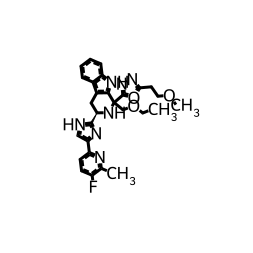 CCOCC1(c2nnc(CCOC)o2)N[C@@H](c2nc(-c3ccc(F)c(C)n3)c[nH]2)Cc2c1[nH]c1ccccc21